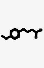 COc1ccc(OCCC([O])=O)cc1